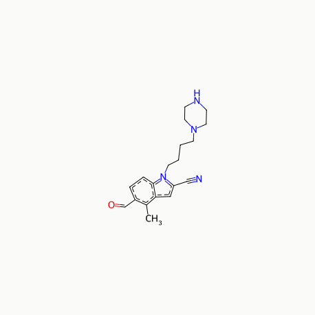 Cc1c(C=O)ccc2c1cc(C#N)n2CCCCN1CCNCC1